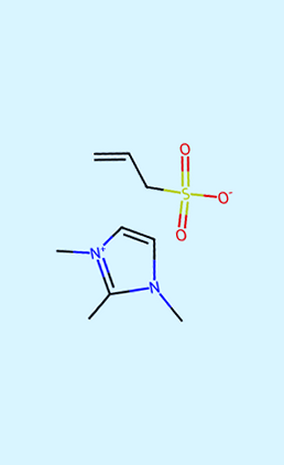 C=CCS(=O)(=O)[O-].Cc1n(C)cc[n+]1C